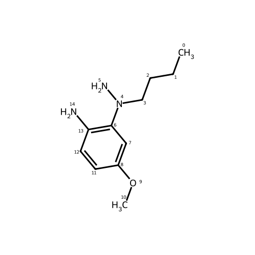 CCCCN(N)c1cc(OC)ccc1N